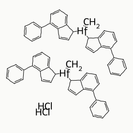 Cl.Cl.[CH2]=[Hf]([CH]1C=Cc2c(-c3ccccc3)cccc21)[CH]1C=Cc2c(-c3ccccc3)cccc21.[CH2]=[Hf]([CH]1C=Cc2c(-c3ccccc3)cccc21)[CH]1C=Cc2c(-c3ccccc3)cccc21